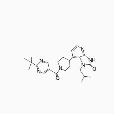 CC(C)Cn1c(=O)[nH]c2nccc(C3CCN(C(=O)c4cnc(C(C)(C)C)nc4)CC3)c21